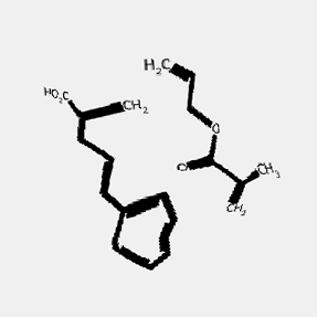 C=C(CC=Cc1ccccc1)C(=O)O.C=CCOC(=O)C(=C)C